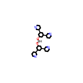 B(Oc1cc(-c2cccnc2)cc(-c2cccnc2)c1)Oc1cc(-c2cccnc2)cc(-c2cccnc2)c1